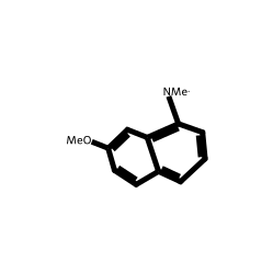 C[N]c1cccc2ccc(OC)cc12